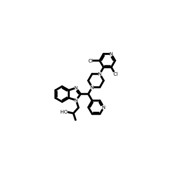 CC(O)Cn1c(C(c2cccnc2)N2CCN(c3c(Cl)cncc3Cl)CC2)nc2ccccc21